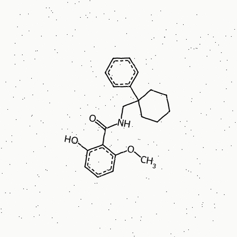 COc1cccc(O)c1C(=O)NCC1(c2ccccc2)CCCCC1